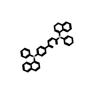 C=C(/C=C\C(=C)N(C1=CCCC=C1)C1=CCCc2ccccc21)c1ccc(N(c2ccccc2)c2cccc3ccccc23)cc1